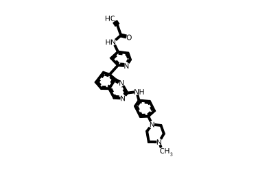 C#CC(=O)Nc1ccnc(-c2cccc3cnc(Nc4ccc(N5CCN(C)CC5)cc4)nc23)c1